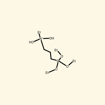 CCO[Si](CCC[N+](O)(O)CC)(OCC)OCC